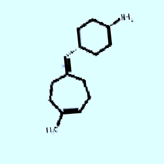 CC1=CCC/C(=C\[C@H]2CC[C@H](N)CC2)CC1